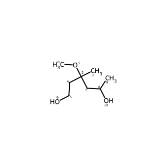 COC(C)(CCO)CC(C)O